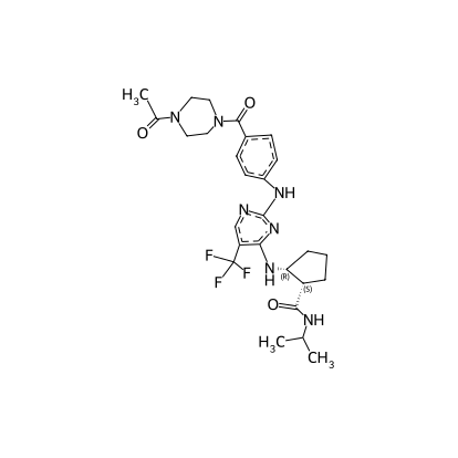 CC(=O)N1CCN(C(=O)c2ccc(Nc3ncc(C(F)(F)F)c(N[C@@H]4CCC[C@@H]4C(=O)NC(C)C)n3)cc2)CC1